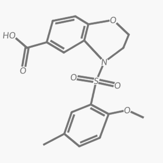 COc1ccc(C)cc1S(=O)(=O)N1CCOc2ccc(C(=O)O)cc21